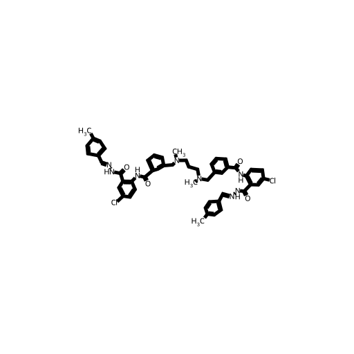 Cc1ccc(C=NNC(=O)c2cc(Cl)ccc2NC(=O)c2cccc(CN(C)CCCN(C)Cc3cccc(C(=O)Nc4ccc(Cl)cc4C(=O)NN=Cc4ccc(C)cc4)c3)c2)cc1